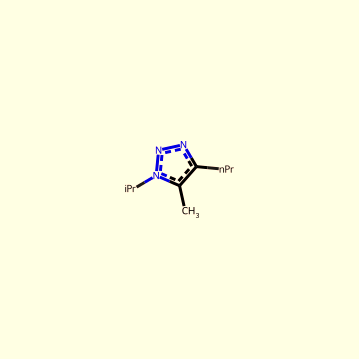 CCCc1nnn(C(C)C)c1C